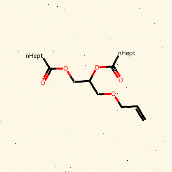 C=CCOCC(COC(=O)CCCCCCC)OC(=O)CCCCCCC